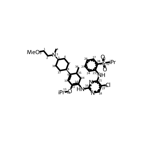 COCCN(C)[C@H]1CC[C@@H](C2=CC(OC(C)C)=C(Nc3ncc(Cl)c(Nc4ccccc4S(=O)(=O)C(C)C)n3)CC2C)CC1